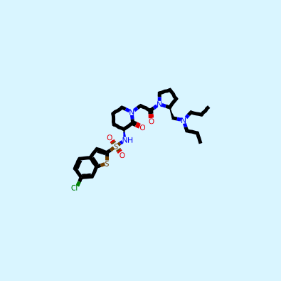 CCCN(CCC)C[C@@H]1CCCN1C(=O)CN1CCC[C@H](NS(=O)(=O)c2cc3ccc(Cl)cc3s2)C1=O